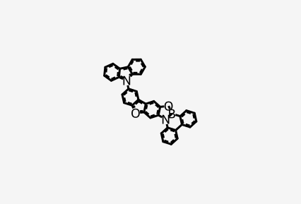 c1ccc2c(c1)B1Oc3cc4c(cc3N1c1ccccc1-2)oc1ccc(-n2c3ccccc3c3ccccc32)cc14